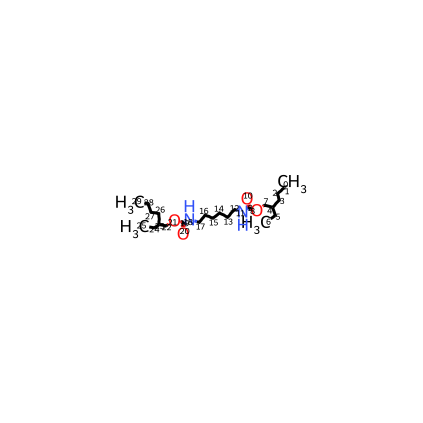 CCCCC(CC)COC(=O)NCCCCCCNC(=O)OCC(CC)CCCC